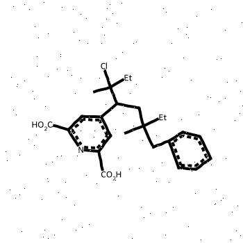 CCC(C)(Cc1ccccc1)CC(c1cc(C(=O)O)nc(C(=O)O)c1)C(C)(Cl)CC